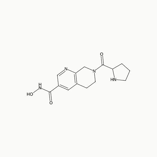 O=C(NO)c1cnc2c(c1)CCN(C(=O)C1CCCN1)C2